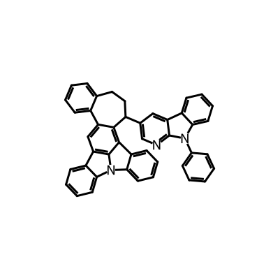 c1ccc(-n2c3ccccc3c3cc(C4CCc5ccccc5-c5cc6c7ccccc7n7c8ccccc8c(c54)c67)cnc32)cc1